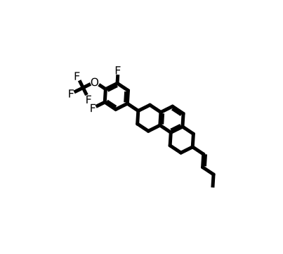 CC/C=C/C1CCc2c(ccc3c2CCC(c2cc(F)c(OC(F)(F)F)c(F)c2)C3)C1